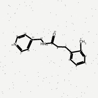 Cc1ccccc1[CH]CC(=O)NCc1ccncc1